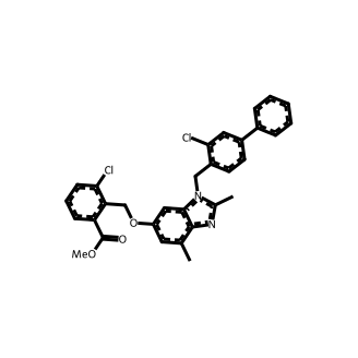 COC(=O)c1cccc(Cl)c1COc1cc(C)c2nc(C)n(Cc3ccc(-c4ccccc4)cc3Cl)c2c1